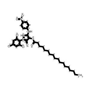 CCCCCCCCCCCCCCCCCC(=O)Oc1c(Nc2ccc([N+](=O)[O-])cc2)[nH]n(-c2c(Cl)cc(Cl)cc2Cl)c1=O